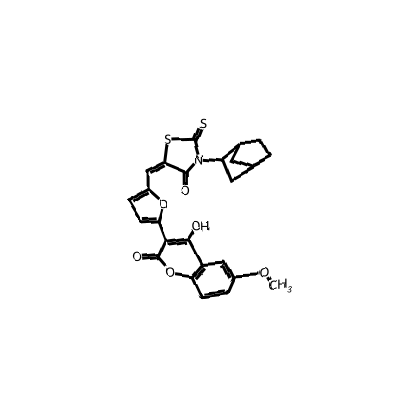 COc1ccc2oc(=O)c(-c3ccc(C=C4SC(=S)N(C5CC6CCC5C6)C4=O)o3)c(O)c2c1